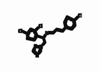 Clc1ccc(C=CC=NC(Cn2cncn2)c2ccc(Cl)cc2Cl)cc1